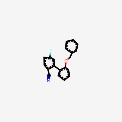 N#Cc1ccc(F)cc1-c1ccccc1OCc1ccccc1